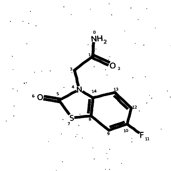 NC(=O)Cn1c(=O)sc2cc(F)ccc21